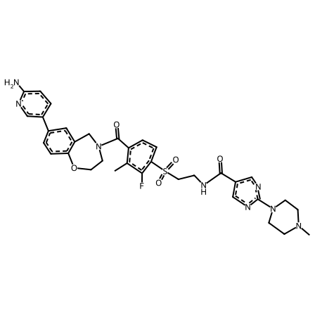 Cc1c(C(=O)N2CCOc3ccc(-c4ccc(N)nc4)cc3C2)ccc(S(=O)(=O)CCNC(=O)c2cnc(N3CCN(C)CC3)nc2)c1F